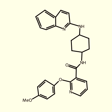 COc1ccc(Oc2ncccc2C(=O)NC2CCC(Nc3ccc4ccccc4n3)CC2)cc1